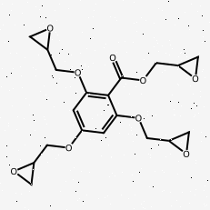 O=C(OCC1CO1)c1c(OCC2CO2)cc(OCC2CO2)cc1OCC1CO1